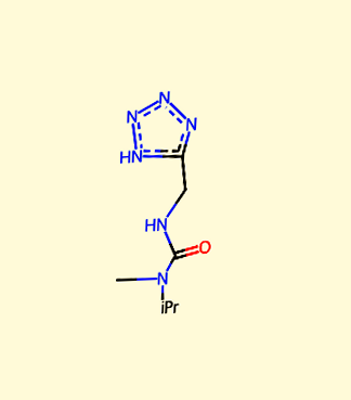 CC(C)N(C)C(=O)NCc1nnn[nH]1